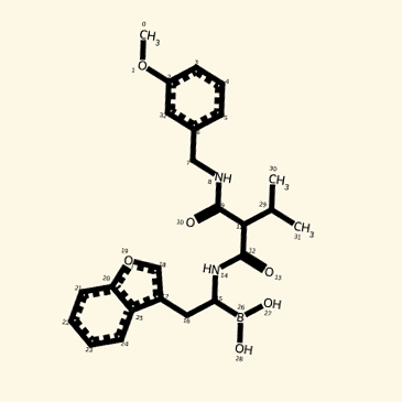 COc1cccc(CNC(=O)C(C(=O)NC(Cc2coc3ccccc23)B(O)O)C(C)C)c1